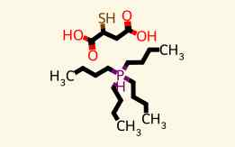 CCCC[PH](CCCC)(CCCC)CCCC.O=C(O)CC(S)C(=O)O